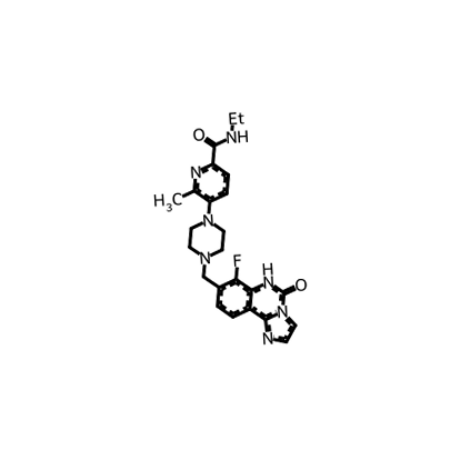 CCNC(=O)c1ccc(N2CCN(Cc3ccc4c([nH]c(=O)n5ccnc45)c3F)CC2)c(C)n1